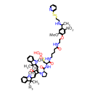 COc1cc(C(C)NCCSSc2ccccn2)c([N+](=O)[O-])cc1OCCNC(=O)CCCCNC(=O)C(CSOOO)NC(=O)[C@H]1CCCN1C1=C(/C=C2/N(C)c3ccccc3C2(C)C)C(=O)/C1=C\C1=[N+](C)c2ccccc2C1(C)C